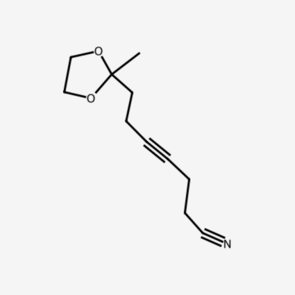 CC1(CCC#CCCC#N)OCCO1